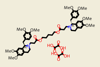 COc1ccc(C[C@@H]2c3cc(OC)c(OC)cc3CCN2CCC(=O)OCCCCCOC(=O)CCN2CCc3cc(OC)c(OC)cc3[C@H]2Cc2ccc(OC)c(OC)c2)cc1OC.O=C(O)C(=O)O.O=C(O)C(=O)O